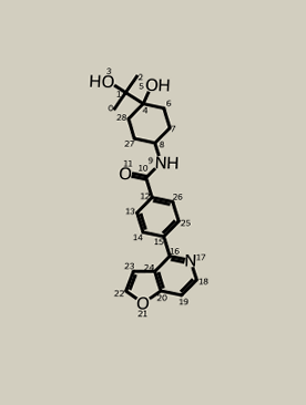 CC(C)(O)C1(O)CCC(NC(=O)c2ccc(-c3nccc4occc34)cc2)CC1